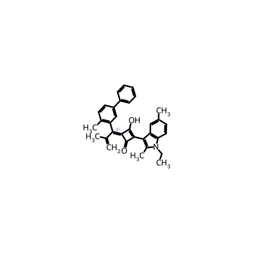 C=C(C)/C(=C1\C(=O)C(c2c(C)n(CC)c3ccc(C)cc23)=C1O)c1cc(-c2ccccc2)ccc1C